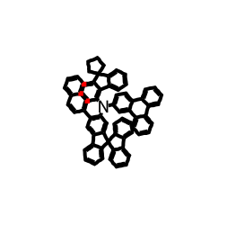 c1ccc2c(c1)-c1c(N(c3ccc4c5ccccc5c5ccccc5c4c3)c3cc4c(cc3-c3ccc5ccccc5c3)-c3ccccc3C43c4ccccc4-c4ccccc43)cccc1C21CCCC1